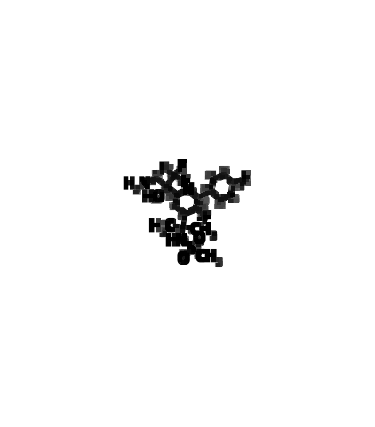 CC(C)(NS(C)(=O)=O)c1cc([C@@](O)(CN)C(F)(F)F)nc(-c2ccc(F)cc2)c1F